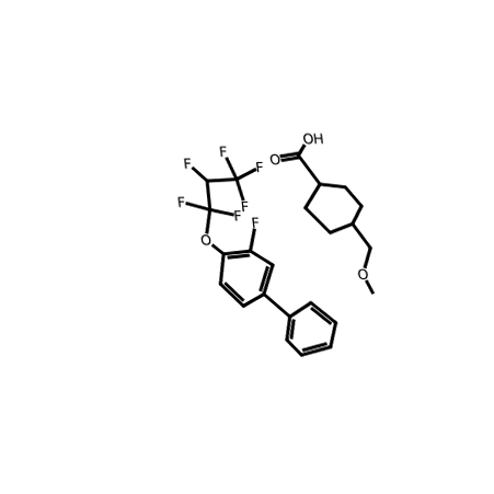 COCC1CCC(C(=O)O)CC1.Fc1cc(-c2ccccc2)ccc1OC(F)(F)C(F)C(F)(F)F